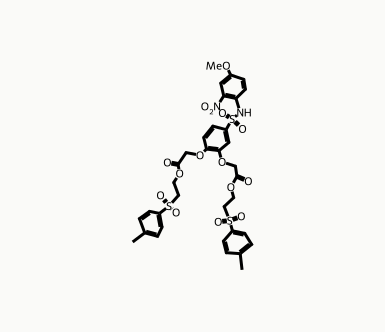 COc1ccc(NS(=O)(=O)c2ccc(OCC(=O)OCCS(=O)(=O)c3ccc(C)cc3)c(OCC(=O)OCCS(=O)(=O)c3ccc(C)cc3)c2)c([N+](=O)[O-])c1